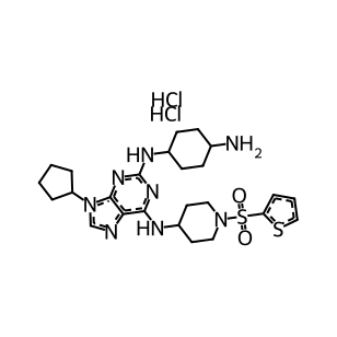 Cl.Cl.NC1CCC(Nc2nc(NC3CCN(S(=O)(=O)c4cccs4)CC3)c3ncn(C4CCCC4)c3n2)CC1